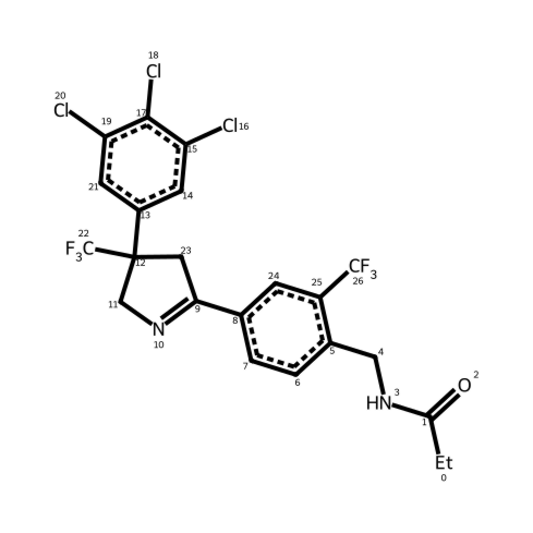 CCC(=O)NCc1ccc(C2=NCC(c3cc(Cl)c(Cl)c(Cl)c3)(C(F)(F)F)C2)cc1C(F)(F)F